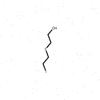 OCCSCCI